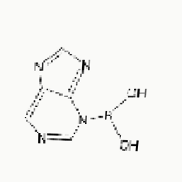 OB(O)n1cncc2ncnc1-2